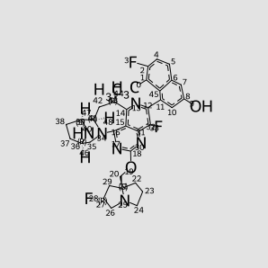 Cc1c(F)ccc2cc(O)cc(-c3nc4c5c(nc(OC[C@@]67CCCN6C[C@H](F)C7)nc5c3F)N3C[C@H]5CC[C@H](N5)[C@H]3C[C@H]4C)c12